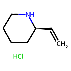 C=C[C@H]1CCCCN1.Cl